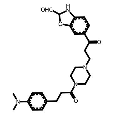 CN(C)c1ccc(CCC(=O)N2CCN(CCC(=O)c3ccc4c(c3)OC(C=O)N4)CC2)cc1